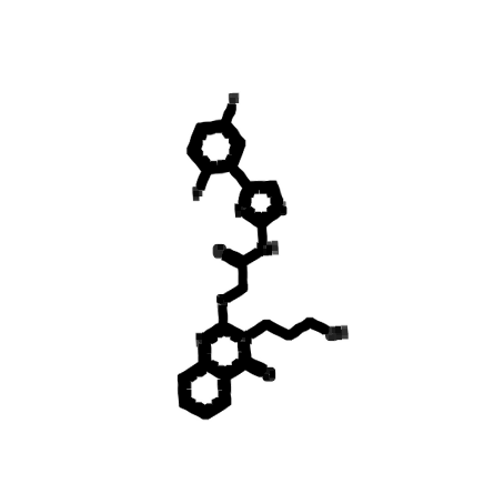 O=C(CSc1nc2ccccc2c(=O)n1CCCO)Nc1nc(-c2cc(F)ccc2F)cs1